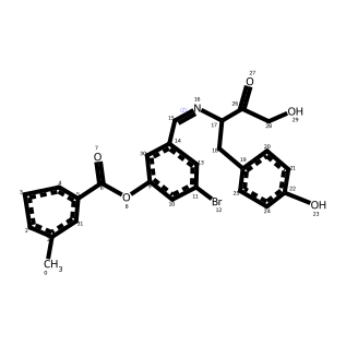 Cc1cccc(C(=O)Oc2cc(Br)cc(/C=N\C(Cc3ccc(O)cc3)C(=O)CO)c2)c1